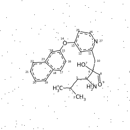 CC(C)CC(N)C(O)(C=O)Cc1cc(Oc2ccc3ccccc3c2)ccn1